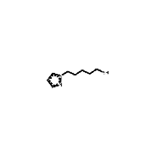 SCCCCCn1cccn1